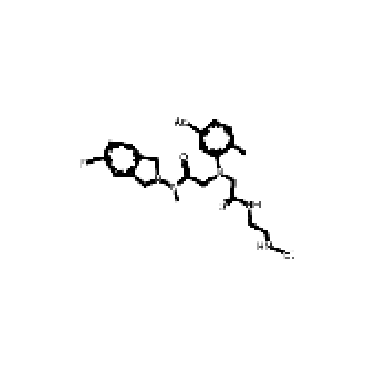 CCNCCNC(=O)CN(CC(=O)N(C)N1Cc2ccc(F)cc2C1)c1cc(C(C)=O)ccc1C